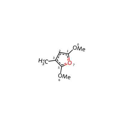 COc1cc(C)c(OC)o1